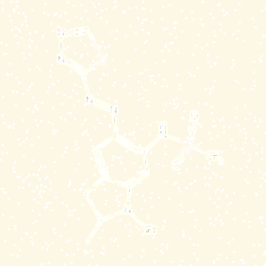 CC(C)N1c2cc(NS(=O)(=O)C(F)(F)F)c(N=Nc3nncs3)cc2CC1C